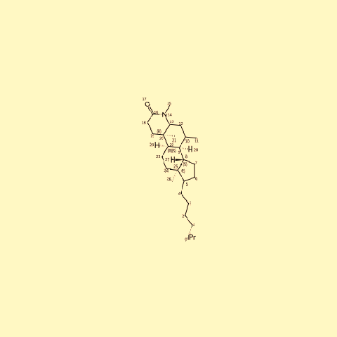 CC(C)CCCCC1CC[C@H]2[C@@H]3C(C)CC4N(C)C(=O)CC[C@]4(C)[C@@H]3CC[C@]12C